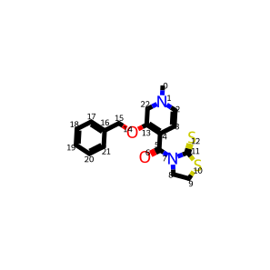 CN1C=CC(C(=O)N2CCSC2=S)=C(OCc2ccccc2)C1